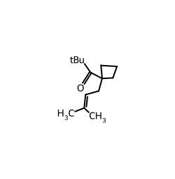 CC(C)=CCC1(C(=O)C(C)(C)C)CCC1